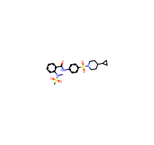 CN(c1ccccc1C(=O)Nc1ccc(S(=O)(=O)N2CCC(C3CC3)CC2)cc1)S(C)(=O)=O